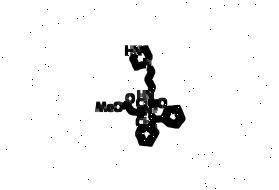 COC(=O)CC(C)(C)N(C(=O)NCCCN1CCNCC1)C(c1ccccc1)c1ccccc1